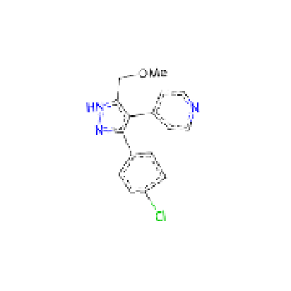 COCc1[nH]nc(-c2ccc(Cl)cc2)c1-c1ccncc1